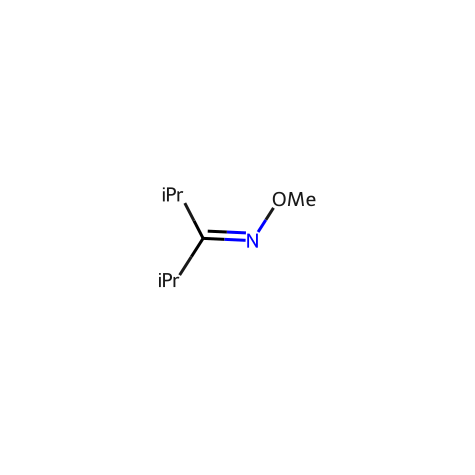 CON=C(C(C)C)C(C)C